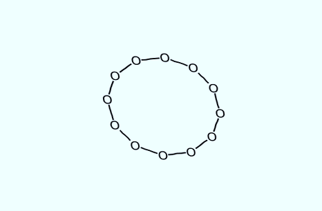 O1OOOOOOOOOOO1